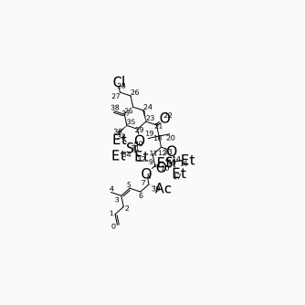 C=CC/C(C)=C\C[C@H](OC(=O)CC(O[Si](CC)(CC)CC)C(C)(C)C(=O)[C@H](CCCCCl)C(O[Si](CC)(CC)CC)[C@@H](C)C=C)C(C)=O